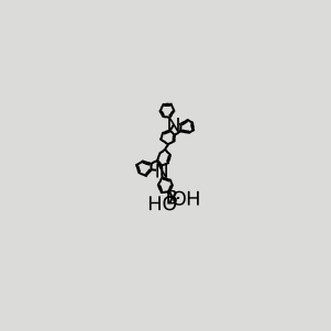 OB(O)c1ccc(-n2c3c(c4ccccc42)CC(C2C=c4c(n(-c5ccccc5)c5ccccc45)=CC2)C=C3)cc1